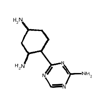 Nc1ncnc(C2CCC(N)CC2N)n1